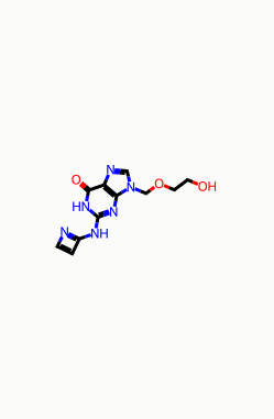 O=c1[nH]c(NC2=NC=C2)nc2c1ncn2COCCO